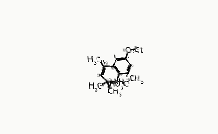 CC(=O)O.CCOc1ccc2c(c1)C(C)=CC(C)(C)N2